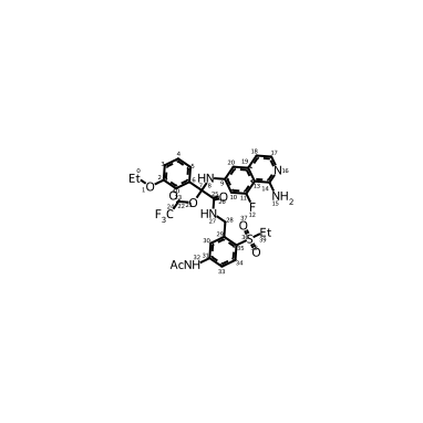 CCOc1cccc(C(Nc2cc(F)c3c(N)nccc3c2)(OC(=O)C(F)(F)F)C(=O)NCc2cc(NC(C)=O)ccc2S(=O)(=O)CC)c1